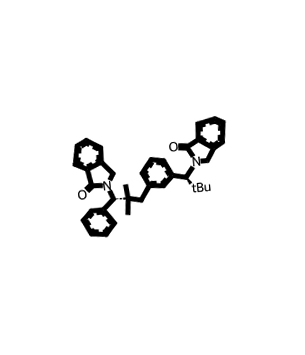 CC(C)(C)[C@@H](c1cccc(CC(C)(C)[C@H](c2ccccc2)N2Cc3ccccc3C2=O)c1)N1Cc2ccccc2C1=O